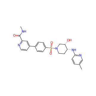 CNC(=O)c1cc(-c2ccc(S(=O)(=O)N3CC[C@@H](Nc4ccc(C)cn4)[C@@H](O)C3)cc2)ccn1